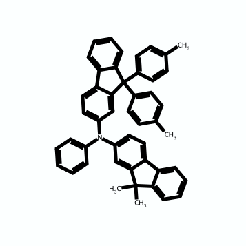 Cc1ccc(C2(c3ccc(C)cc3)c3ccccc3-c3ccc(N(c4ccccc4)c4ccc5c(c4)C(C)(C)c4ccccc4-5)cc32)cc1